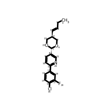 CCC=C[C@H]1CO[C@H](c2ccc(-c3ccc(Cl)c(F)c3)nc2)OC1